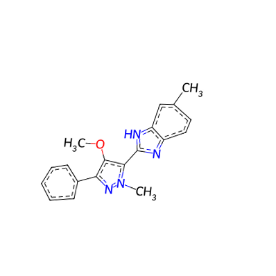 COc1c(-c2ccccc2)nn(C)c1-c1nc2ccc(C)cc2[nH]1